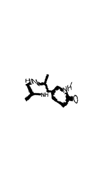 CC1CNC(C)C(c2ccc(=O)[nH]c2)N1